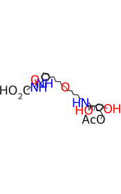 CC(=O)OCc1cc([C@@H](O)CNCCCCCCOCCCCc2cccc(NC(=O)NCC(=O)O)c2)ccc1O